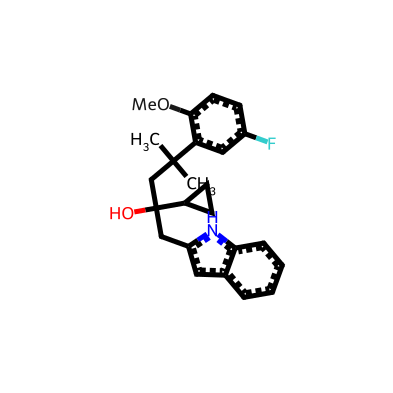 COc1ccc(F)cc1C(C)(C)CC(O)(Cc1cc2ccccc2[nH]1)C1CC1